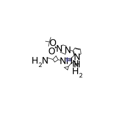 CC(C)(C)OC(=O)N1CCN(C2=C(/C(=C/NC3CC(CN)C3)C(N)C3CC3)NCC=C2)CC1